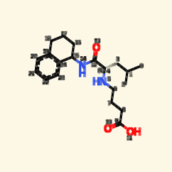 CC(C)C[C@H](NCCCC(=O)O)C(=O)NC1CCCc2ccccc21